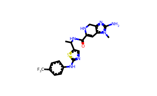 CC(NC(=O)C1=Cc2c(nc(N)n2C)CN1)c1cnc(Nc2ccc(C(F)(F)F)cc2)s1